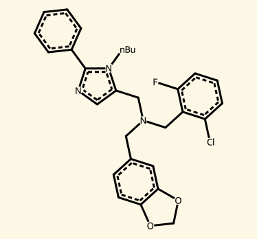 CCCCn1c(CN(Cc2ccc3c(c2)OCO3)Cc2c(F)cccc2Cl)cnc1-c1ccccc1